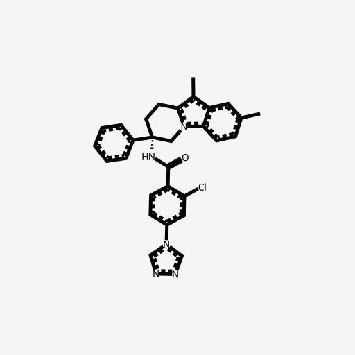 Cc1ccc2c(c1)c(C)c1n2C[C@@](NC(=O)c2ccc(-n3cnnc3)cc2Cl)(c2ccccc2)CC1